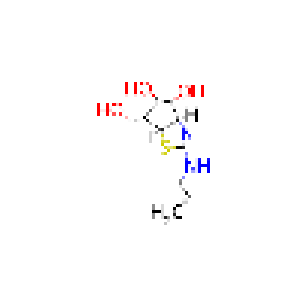 C=CCNC1=N[C@@H]2[C@@H](O)[C@H](O)[C@@H](CO)[C@@H]2S1